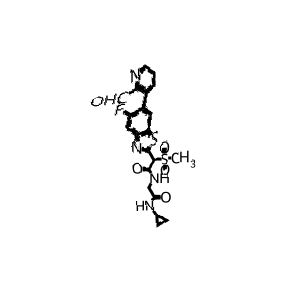 CS(=O)(=O)C(C(=O)NCC(=O)NC1CC1)c1nc2cc(F)c(-c3cccnc3C=O)cc2s1